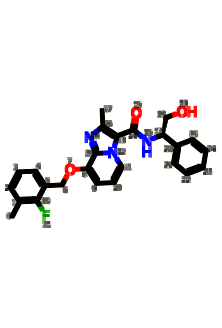 Cc1cccc(COc2cccn3c(C(=O)N[C@@H](CO)c4ccccc4)c(C)nc23)c1F